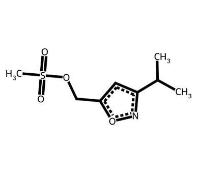 CC(C)c1cc(COS(C)(=O)=O)on1